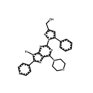 CCn1c(-c2ccncc2)nc2c(N3CCOCC3)nc(-n3nc(CO)cc3-c3ccccc3)nc21